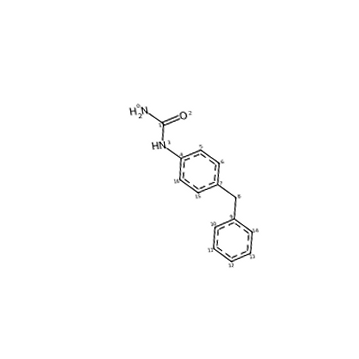 NC(=O)Nc1ccc(Cc2ccccc2)cc1